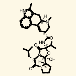 Cc1[nH]c2cccc3c2c1C[C@@H]1C3=C[C@@H](C(=O)N[C@]2(C(C)C)O[C@@]3(O)[C@@H]4CCCN4C(=O)[C@H](CC(C)C)N3C2=O)CN1C